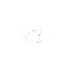 COc1ccc(-n2nc(-c3ccccc3C(=O)N(C)O)cc2-c2ccc(Cl)cc2)cc1.COc1ccc(-n2nc(-c3ccccc3C(=O)N(C)O)cc2-c2ccc(Cl)cc2)cc1.O